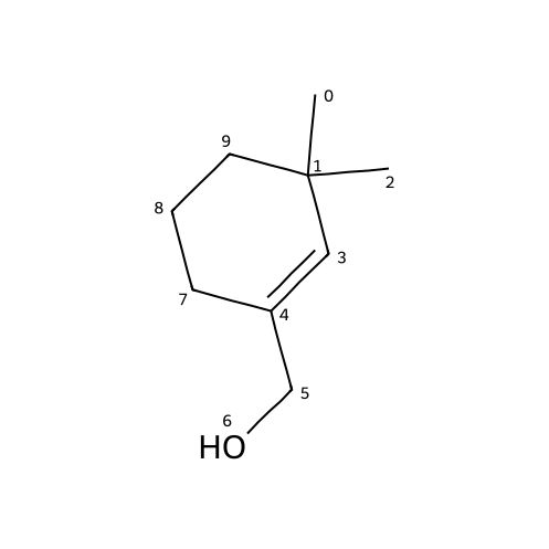 CC1(C)C=C(CO)CCC1